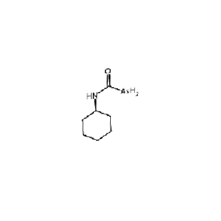 O=C([AsH2])NC1CCCCC1